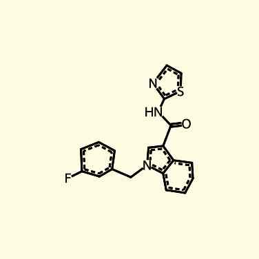 O=C(Nc1nccs1)c1cn(Cc2cccc(F)c2)c2ccccc12